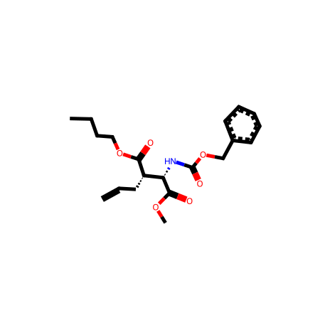 C=CC[C@H](C(=O)OCCCC)[C@H](NC(=O)OCc1ccccc1)C(=O)OC